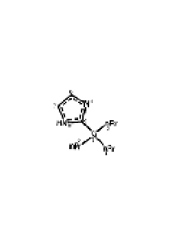 CCC[Si](CCC)(CCC)c1ncc[nH]1